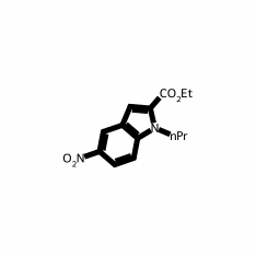 CCCn1c(C(=O)OCC)cc2cc([N+](=O)[O-])ccc21